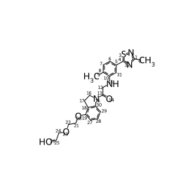 Cc1nsc(-c2ccc(C)c(NCC(=O)N3CCc4c(OCCOCCO)cccc43)c2)n1